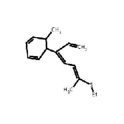 C=C/C(=C\C=C(/C)SCC)C1C=CC=CC1C